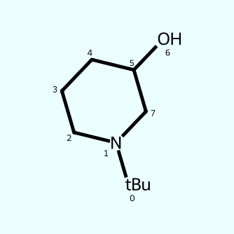 CC(C)(C)N1CCCC(O)C1